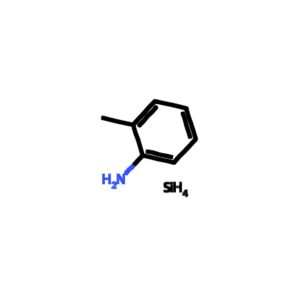 Cc1ccccc1N.[SiH4]